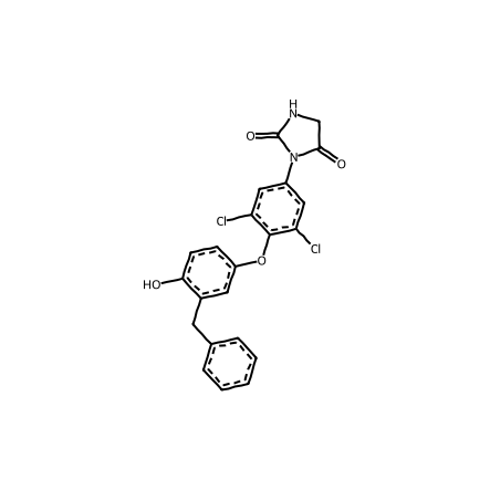 O=C1CNC(=O)N1c1cc(Cl)c(Oc2ccc(O)c(Cc3ccccc3)c2)c(Cl)c1